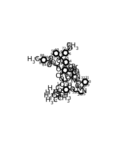 CCOC(=O)[C@@H](Cc1cc(O[Si](C)(C)C(C)(C)C)ccc1OCc1ccnc(-c2ccccc2OC)n1)Oc1ncnc2oc(Br)c(-c3ccc(O[C@H](COC(c4ccccc4)(c4ccc(OC)cc4)c4ccc(OC)cc4)COS(=O)(=O)c4ccc(C)cc4)c(Cl)c3C)c12